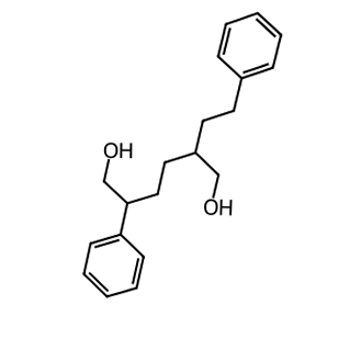 OCC(CCc1ccccc1)CCC(CO)c1ccccc1